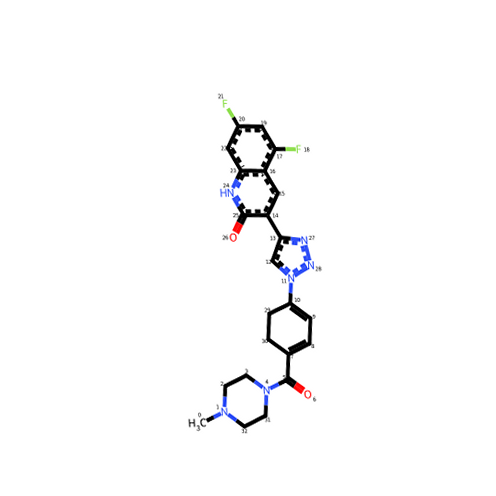 CN1CCN(C(=O)C2=CC=C(n3cc(-c4cc5c(F)cc(F)cc5[nH]c4=O)nn3)CC2)CC1